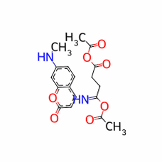 CC(=O)OC(=N)CCC(=O)OC(C)=O.CNc1ccc2ccc(=O)oc2c1